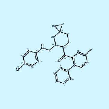 Cc1ccc(-c2ncccn2)c(C(=O)N2CCC3(CC3)CC2CNc2ccc(Cl)cn2)c1